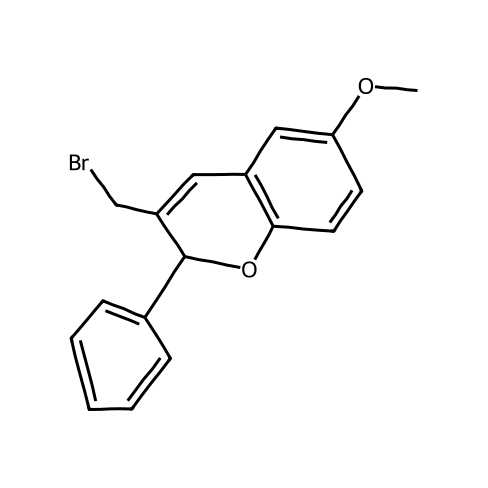 COc1ccc2c(c1)C=C(CBr)C(c1ccccc1)O2